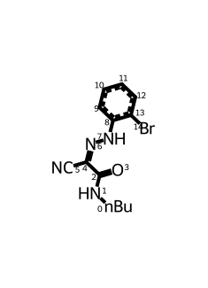 CCCCNC(=O)C(C#N)=NNc1ccccc1Br